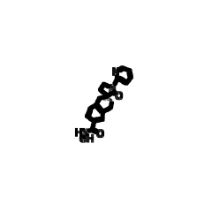 O=C(NO)c1ccc2c(c1)CC[C@@]1(CCN(c3ccccn3)C1=O)C2